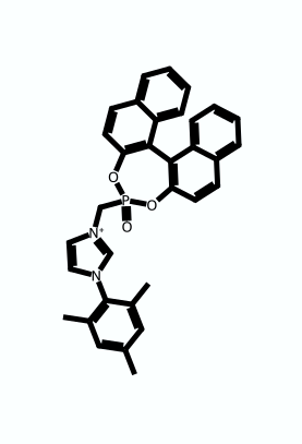 Cc1cc(C)c(-n2cc[n+](CP3(=O)Oc4ccc5ccccc5c4-c4c(ccc5ccccc45)O3)c2)c(C)c1